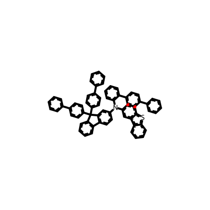 c1ccc(-c2ccc(-c3ccccc3N(c3ccc4c(c3)C(c3ccc(-c5ccccc5)cc3)(c3ccc(-c5ccccc5)cc3)c3ccccc3-4)c3ccc4sc5ccccc5c4c3)cc2)cc1